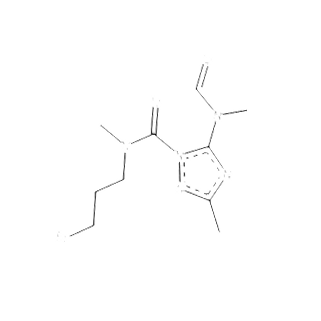 Cc1nc(N(C)C=O)n(C(=O)N(C)CCCBr)n1